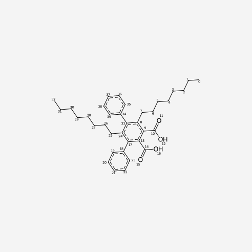 CCCCCCCCc1c(C(=O)O)c(C(=O)O)c(-c2ccccc2)c(CCCCCCCC)c1-c1ccccc1